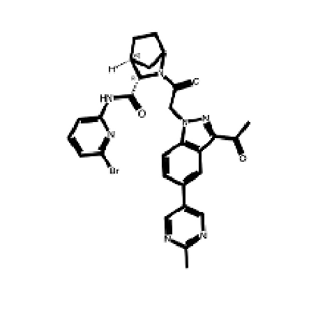 CC(=O)c1nn(CC(=O)N2C3CC[C@@H](C3)[C@H]2C(=O)Nc2cccc(Br)n2)c2ccc(-c3cnc(C)nc3)cc12